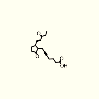 CCC(=O)/C=C/C1CCC(=O)C1CC#CCCCC(=O)O